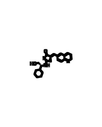 O=C1N=C(N[C@@H](CO)C2CCCCC2)S/C1=C\c1ccc2ncccc2c1